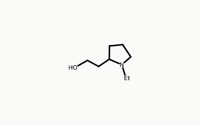 [CH2]CN1CCCC1CCO